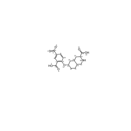 O=C(O)c1cc([N+](=O)[O-])ccc1OC1CCC2CNC(C(=O)O)CC2C1